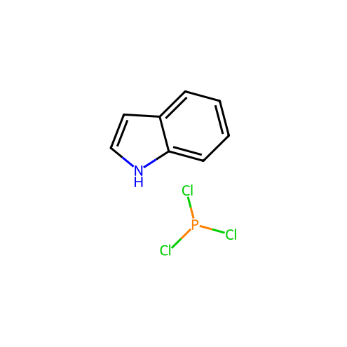 ClP(Cl)Cl.c1ccc2[nH]ccc2c1